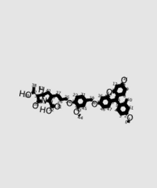 COc1ccc(-c2c3ccc(=O)cc-3oc3cc(OCc4ccc(OC/C=C/C5=C(C(=O)O)N6C(=O)[C@H](C(C)O)[C@H]6C5)c(OC)c4)ccc23)c(C)c1